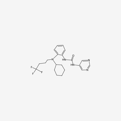 O=C(Nc1cncnc1)Nc1ccccc1N(CCCC(F)(F)F)C1CCCCC1